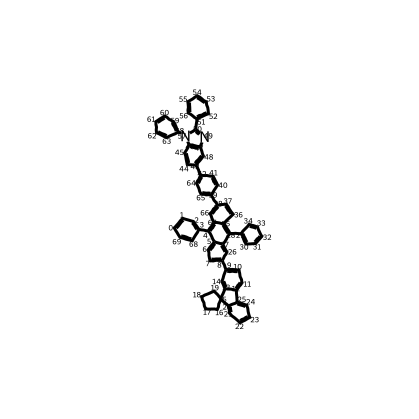 c1ccc(-c2c3ccc(-c4ccc5c(c4)C4(CCCC4)c4ccccc4-5)cc3c(-c3ccccc3)c3ccc(-c4ccc(-c5ccc6c(c5)nc(-c5ccccc5)n6-c5ccccc5)cc4)cc23)cc1